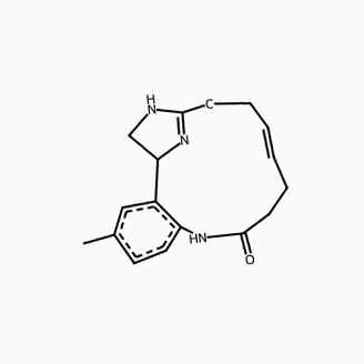 Cc1ccc2c(c1)C1CNC(=N1)CC/C=C/CCC(=O)N2